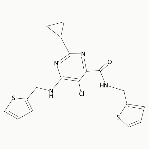 O=C(NCc1cccs1)c1nc(C2CC2)nc(NCc2cccs2)c1Cl